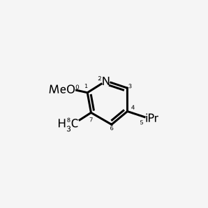 COc1ncc(C(C)C)cc1C